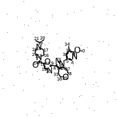 COc1ncc(-n2nc(-c3ncc(C(=O)N4CCN(C(C)C)CC4)o3)c3c2CCOCC3)cc1C